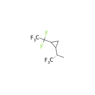 C[C@@H](C1CC1C(F)(F)C(F)(F)F)C(F)(F)F